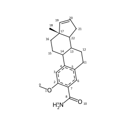 COc1cc2c(cc1C(N)=O)CCC1C2CC[C@]2(C)C=CCC12